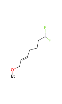 [CH2]COCC=CCCCC(F)F